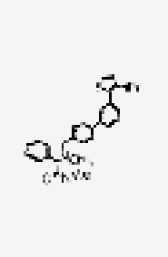 CNC(=O)[C@@H](c1ccccc1)N(C)Cc1ccc(-c2cccc(-c3sccc3C(C)C)c2)cc1